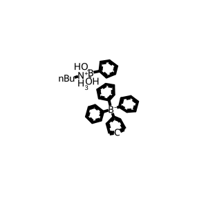 CCCC[NH3+].OB(O)c1ccccc1.c1ccc([B-](c2ccccc2)(c2ccccc2)c2ccccc2)cc1